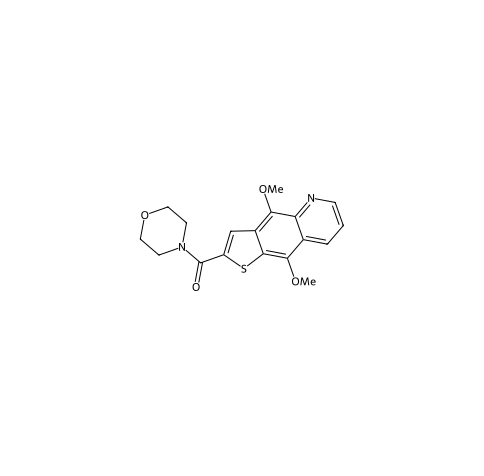 COc1c2cc(C(=O)N3CCOCC3)sc2c(OC)c2cccnc12